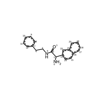 NC(C(=O)NCCc1ccccc1)c1ccc2ccccc2c1